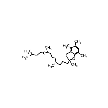 Cc1cc(C)c2c(c1C)CCC(C)(CCC[C@H](C)CCC[C@H](C)CCCC(C)C)O2